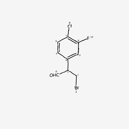 O=CC(CBr)c1ccc(Cl)c(F)c1